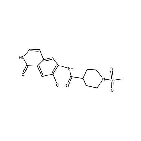 CS(=O)(=O)N1CCC(C(=O)Nc2cc3cc[nH]c(=O)c3cc2Cl)CC1